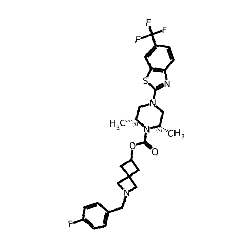 C[C@@H]1CN(c2nc3ccc(C(F)(F)F)cc3s2)C[C@H](C)N1C(=O)OC1CC2(C1)CN(Cc1ccc(F)cc1)C2